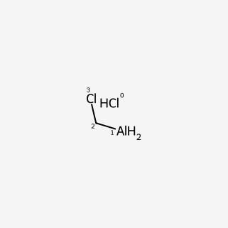 Cl.[AlH2][CH2]Cl